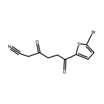 N#CCC(=O)CCC(=O)c1ccc(Br)s1